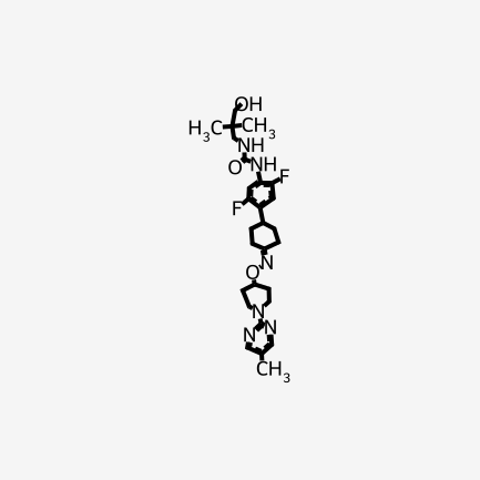 Cc1cnc(N2CCC(ON=C3CCC(c4cc(F)c(NC(=O)NCC(C)(C)CO)cc4F)CC3)CC2)nc1